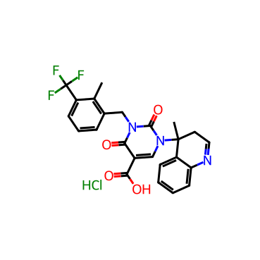 Cc1c(Cn2c(=O)c(C(=O)O)cn(C3(C)CC=Nc4ccccc43)c2=O)cccc1C(F)(F)F.Cl